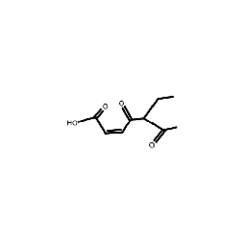 CCC(C(C)=O)C(=O)/C=C\C(=O)O